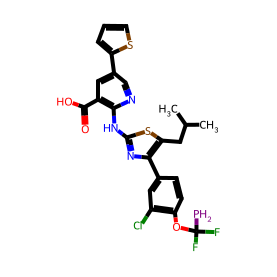 CC(C)Cc1sc(Nc2ncc(-c3cccs3)cc2C(=O)O)nc1-c1ccc(OC(F)(F)P)c(Cl)c1